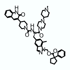 Cc1cc(C[C@@H](NC(=O)N2CCC(c3cc4ccccc4[nH]c3=O)CC2)C(=O)N2CCN(C3CCN(C)CC3)CC2)cc2cnn(COC(=O)C3(c4ccccc4)CCCC3)c12